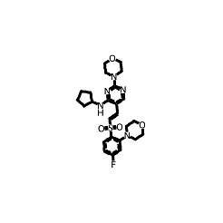 O=S(=O)(/C=C/c1cnc(N2CCOCC2)nc1NC1CCCC1)c1ccc(F)cc1N1CCOCC1